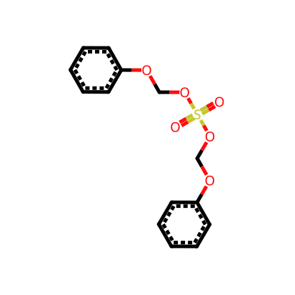 O=S(=O)(OCOc1ccccc1)OCOc1ccccc1